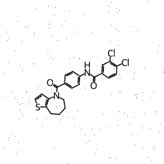 O=C(Nc1ccc(C(=O)N2CCCCc3sccc32)cc1)c1ccc(Cl)c(Cl)c1